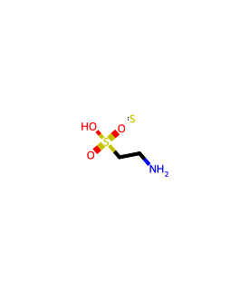 NCCS(=O)(=O)O.[S]